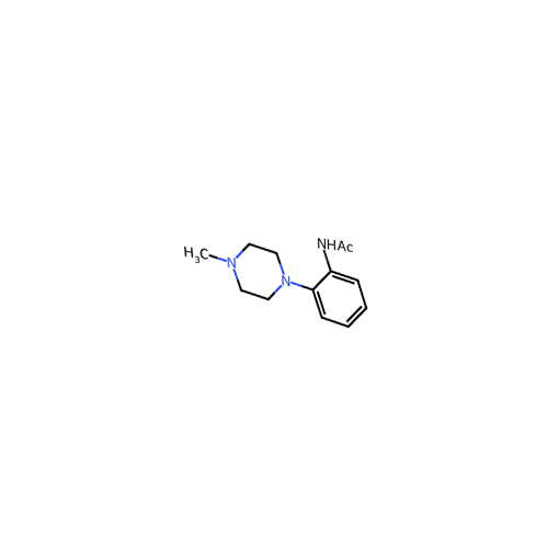 CC(=O)Nc1ccccc1N1CCN(C)CC1